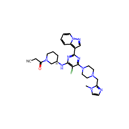 Cn1ccnc1CN1CCN(c2nc(-c3cnn4ccccc34)nc(N[C@@H]3CCCN(C(=O)CC#N)C3)c2F)CC1